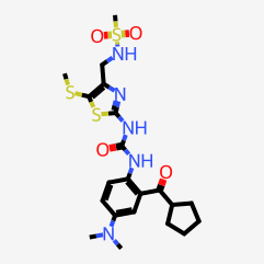 CSc1sc(NC(=O)Nc2ccc(N(C)C)cc2C(=O)C2CCCC2)nc1CNS(C)(=O)=O